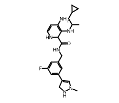 CC(CC1CC1)NC1=C(N)C=CNC1C(=O)NCc1cc(F)cc(C2=CN(C)NC2)c1